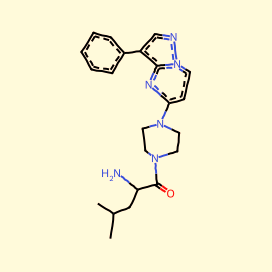 CC(C)CC(N)C(=O)N1CCN(c2ccn3ncc(-c4ccccc4)c3n2)CC1